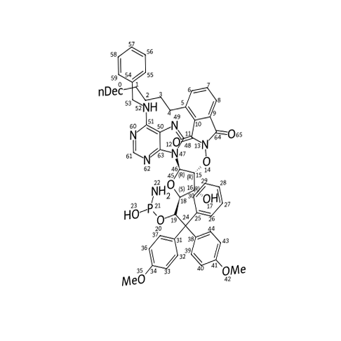 CCCCCCCCCCCCCCc1cccc2c1C(=O)N(O[C@@H]1[C@H](O)[C@@H](C(OP(N)O)C(c3ccccc3)(c3ccc(OC)cc3)c3ccc(OC)cc3)O[C@H]1n1cnc3c(NCc4ccccc4)ncnc31)C2=O